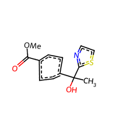 COC(=O)c1ccc(C(C)(O)c2nccs2)cc1